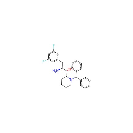 N[C@@H](Cc1cc(F)cc(F)c1)C(O)[C@H]1CCCCN1C(c1ccccc1)c1ccccc1